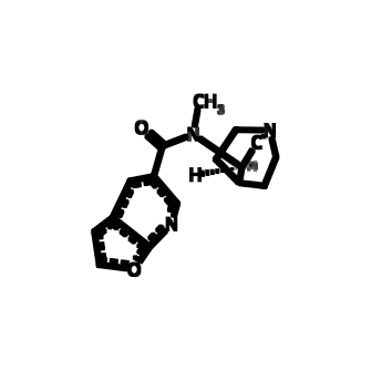 CN(C(=O)c1cnc2occc2c1)[C@H]1CN2CCC1CC2